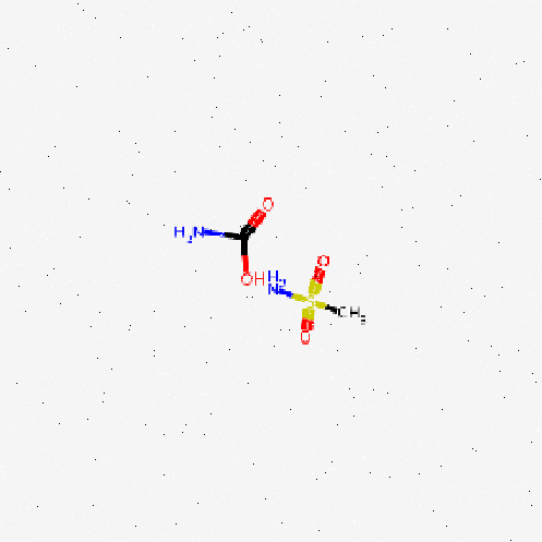 CS(N)(=O)=O.NC(=O)O